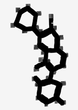 Cc1ccc(C)c(-c2ccc3cc(F)c(C4CCCCC4)cc3[n+]2C)c1